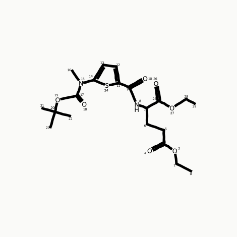 CCOC(=O)CCC(NC(=O)c1ccc(N(C)C(=O)OC(C)(C)C)s1)C(=O)OCC